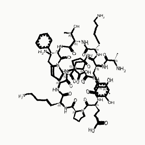 C[C@H](N)C(=O)N[C@@H](Cc1ccc(O)cc1)C(=O)N[C@@H](CCCCN)C(=O)N[C@H](C(=O)N[C@@H](Cc1ccccc1)C(=O)N1CCC[C@H]1C(=O)N1CCC[C@H]1C(=O)N[C@H](C(=O)N[C@@H](CCC(=O)O)C(=O)N1CCC[C@H]1C(=O)N[C@@H](CCCCN)C(=O)N[C@@H](CCCCN)C(=O)N[C@@H](CC(=O)O)C(=O)O)[C@@H](C)O)[C@@H](C)O